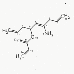 C=CCC(N)=CC(CC=C)OC(=O)C=C